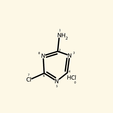 Cl.Nc1ncnc(Cl)n1